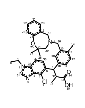 CCn1nnc2c(Cl)c(C(c3ccc(C)c(CN4Cc5cccnc5OC(C)(C)C4)c3)C(C)C(=O)O)ccc21